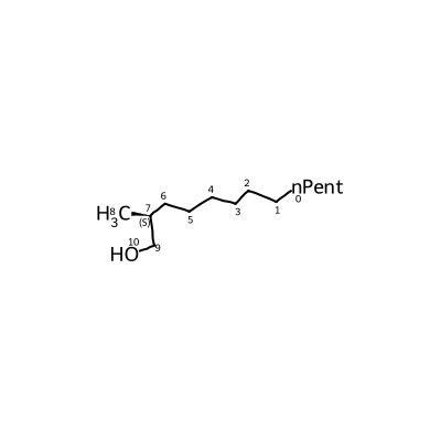 CCCCCCCCCCC[C@H](C)CO